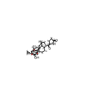 CCc1ccc(O)cc1C12CCN(CC3CC3)C(C)C13CCC1C2[C@@H](CN1C(=O)[C@H]1CCC(=O)N1)C3